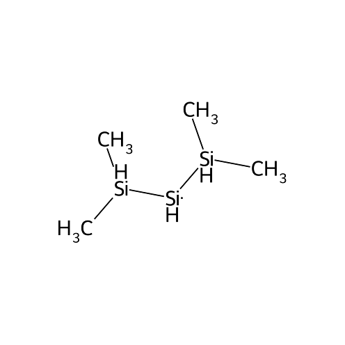 C[SiH](C)[SiH][SiH](C)C